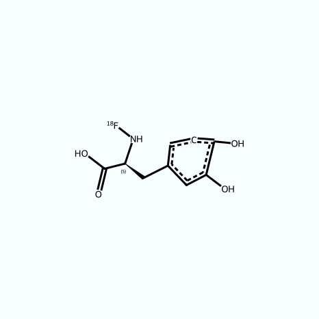 O=C(O)[C@H](Cc1ccc(O)c(O)c1)N[18F]